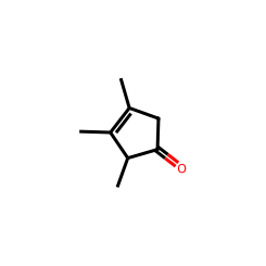 CC1=C(C)C(C)C(=O)C1